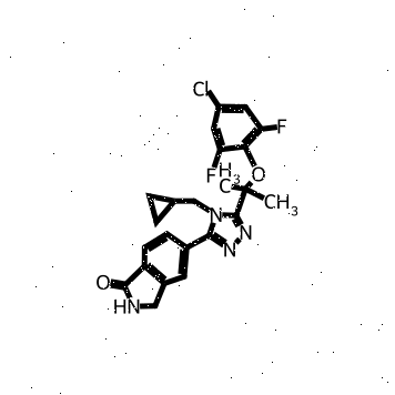 CC(C)(Oc1c(F)cc(Cl)cc1F)c1nnc(-c2ccc3c(c2)CNC3=O)n1CC1CC1